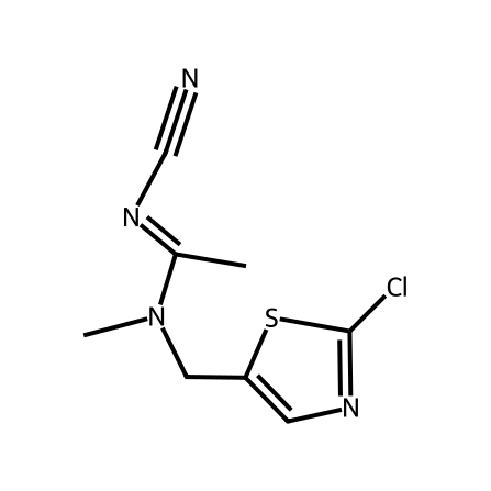 C/C(=N\C#N)N(C)Cc1cnc(Cl)s1